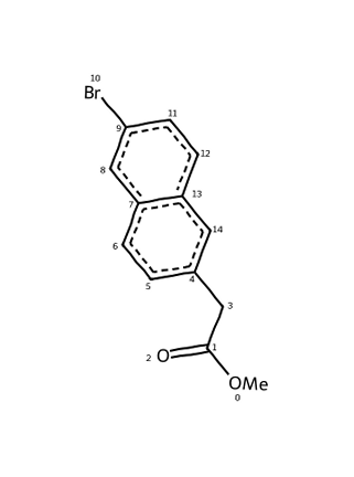 COC(=O)Cc1ccc2cc(Br)ccc2c1